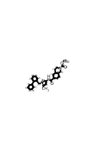 Cc1cc(NC(=O)c2ccc3c(c2)CCN(C(=O)OC(C)(C)C)C3)nn1Cc1ccccc1-c1ccccc1